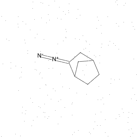 [N-]=[N+]=C1CC2CCC1C2